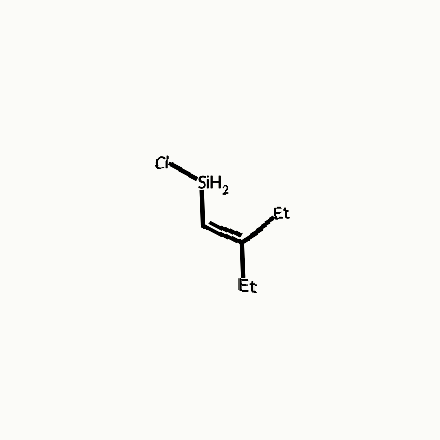 CCC(=C[SiH2]Cl)CC